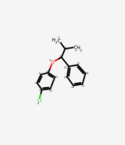 CC(C)C(Oc1ccc(Cl)cc1)c1ccccc1